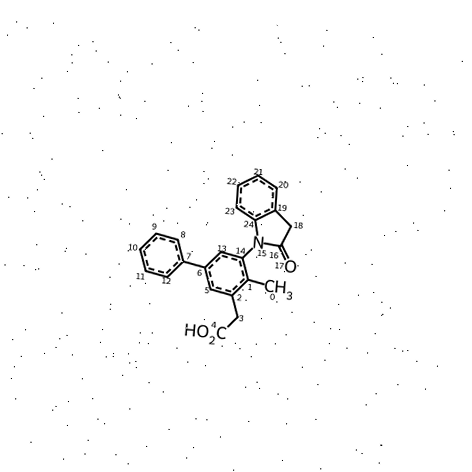 Cc1c(CC(=O)O)cc(-c2ccccc2)cc1N1C(=O)Cc2ccccc21